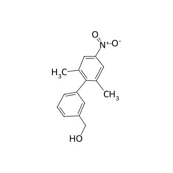 Cc1cc([N+](=O)[O-])cc(C)c1-c1cccc(CO)c1